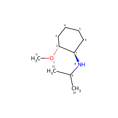 CO[C@@H]1CCCC[C@H]1NC(C)C